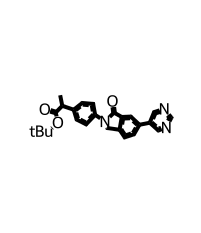 CC(C(=O)OC(C)(C)C)c1ccc(N2Cc3ccc(-c4cncnc4)cc3C2=O)cc1